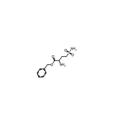 NC(CCS(N)(=O)=O)C(=O)OCc1ccccc1